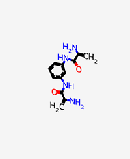 C=C(N)C(=O)Nc1cccc(NC(=O)C(=C)N)c1